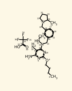 CCCCOc1nc(N)c(N)c(N(Cc2cccc(CN3CCCC3C)c2)NC)n1.O=C(O)C(F)(F)F